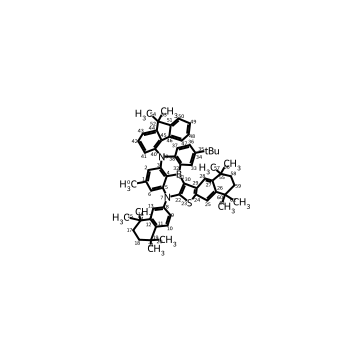 Cc1cc2c3c(c1)N(c1ccc4c(c1)C(C)(C)CCC4(C)C)c1sc4cc5c(cc4c1B3c1cc(C(C)(C)C)ccc1N2c1cccc2c1-c1ccccc1C2(C)C)C(C)(C)CCC5(C)C